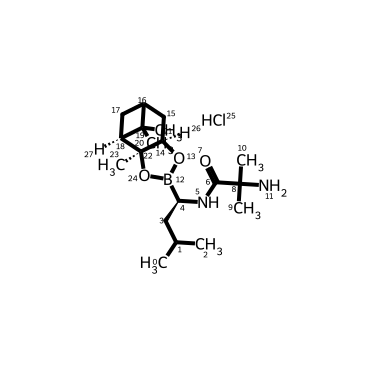 CC(C)C[C@H](NC(=O)C(C)(C)N)B1O[C@@H]2CC3C[C@@H](C3(C)C)[C@]2(C)O1.Cl